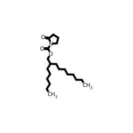 CCCCCCCCC(CCCCCC)COC(=O)N1CCCC1=O